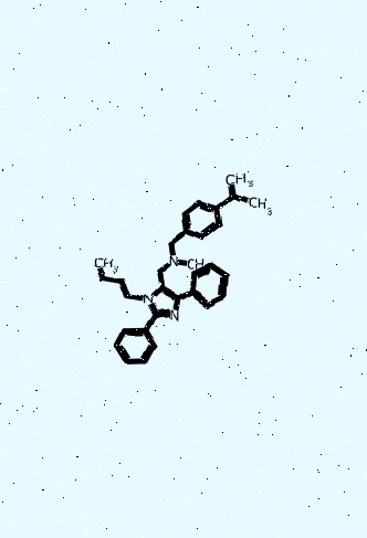 CCCCn1c(-c2ccccc2)nc(-c2ccccc2)c1CN(C)Cc1ccc(C(C)C)cc1